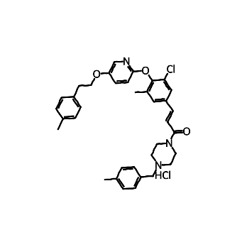 Cc1ccc(CCOc2ccc(Oc3c(C)cc(C=CC(=O)N4CCN(Cc5ccc(C)cc5)CC4)cc3Cl)nc2)cc1.Cl